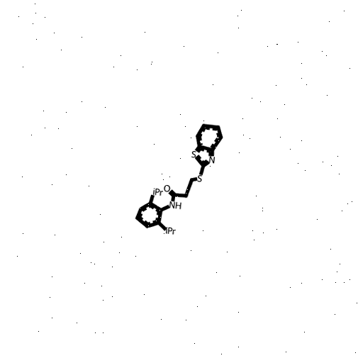 CC(C)c1cccc(C(C)C)c1NC(=O)CCSc1nc2ccccc2s1